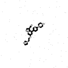 N#Cc1cnn2cc(OCCn3ccnc3)cc(-c3ccc(N4CCNCC4)nc3)c12